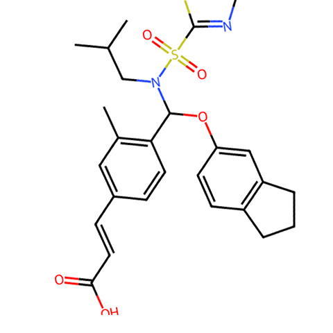 Cc1csc(S(=O)(=O)N(CC(C)C)C(Oc2ccc3c(c2)CCC3)c2ccc(/C=C/C(=O)O)cc2C)n1